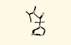 CC(C)N(C)C(=O)C(C)(C)N1C=CC=NC1